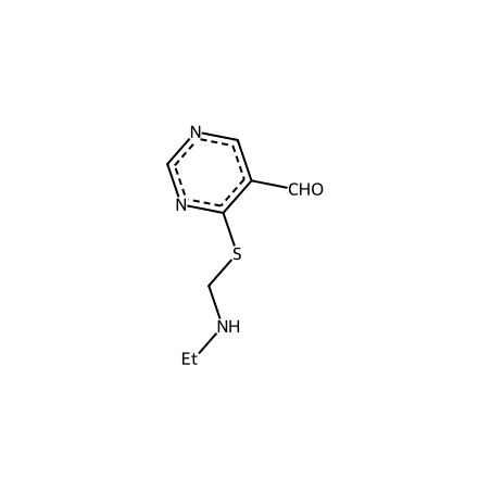 CCNCSc1ncncc1C=O